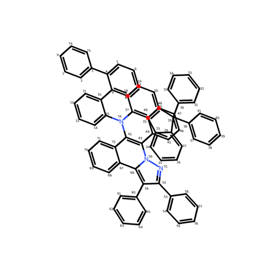 c1ccc(-c2ccccc2-c2ccccc2N(c2cccc3c2-c2ccccc2C3(c2ccccc2)c2ccccc2)c2c(-c3ccccc3)n3nc(-c4ccccc4)c(-c4ccccc4)c3c3ccccc23)cc1